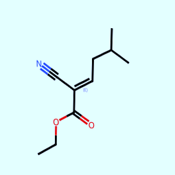 CCOC(=O)/C(C#N)=C/CC(C)C